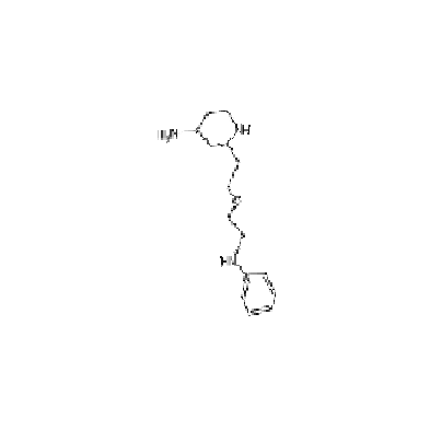 NC1CCNC(CCOCCNc2ccccc2)C1